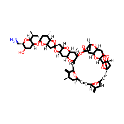 C=C1C[C@@H]2CC[C@@]34C[C@H]5OC6C(O3)[C@H]3O[C@H](CC[C@@H]3O[C@H]6C5O4)CC(=O)O[C@@H]3[C@@H](C)[C@@H]4O[C@@H]5C[C@]6(C[C@@H]7O[C@]8(C[C@H](C)[C@@H]9O[C@H](CN)[C@H](O)C[C@@H]9O8)C[C@H](C)[C@@H]7O6)O[C@@H]5C[C@@H]4O[C@H]3C[C@H]3O[C@@H](CC[C@@H]1O2)C[C@@H](C)C3=C